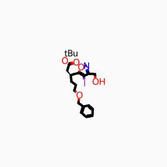 CC(C)(C)OC(=O)C[C@H](CCCOCc1ccccc1)c1onc(CO)c1I